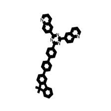 CC1(C)c2ccccc2-c2cc(-c3ccc(-c4ccc(-c5nc(-c6ccc7ncccc7c6)nc(-c6ccc7ncccc7c6)n5)cc4)cc3)ccc21